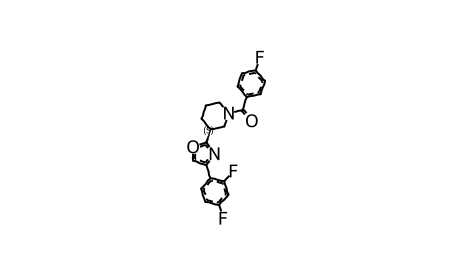 O=C(c1ccc(F)cc1)N1CCC[C@H](c2nc(-c3ccc(F)cc3F)co2)C1